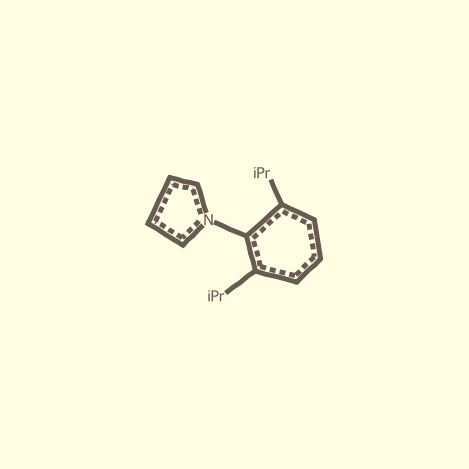 CC(C)c1cccc(C(C)C)c1-n1cccc1